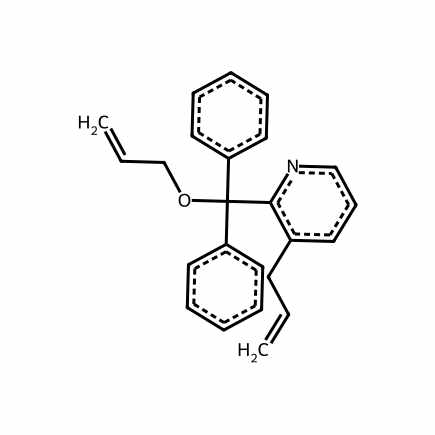 C=CCOC(c1ccccc1)(c1ccccc1)c1ncccc1CC=C